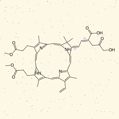 C=CC1=C(C)c2cc3[nH]c(cc4nc(cc5[nH]c(cc1n2)c(C)c5CCC(=O)OC)C(CCC(=O)OC)=C4C)C(C)(C)/C3=C\C=C(/CC(=O)CO)C(=O)O